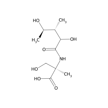 C[C@H](C(O)C(=O)N[C@](C)(CO)C(=O)O)[C@@H](C)O